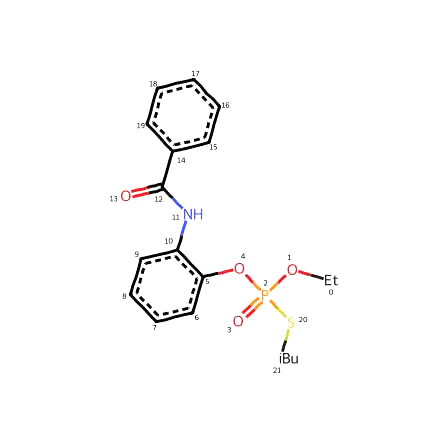 CCOP(=O)(Oc1ccccc1NC(=O)c1ccccc1)SC(C)CC